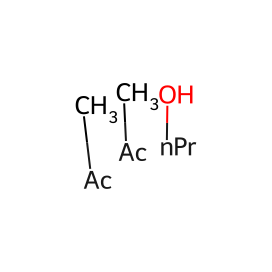 CC(C)=O.CC(C)=O.CCCO